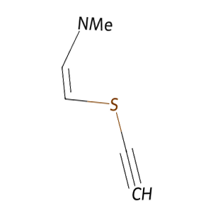 C#CS/C=C\NC